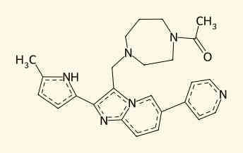 CC(=O)N1CCCN(Cc2c(-c3ccc(C)[nH]3)nc3ccc(-c4ccncc4)cn23)CC1